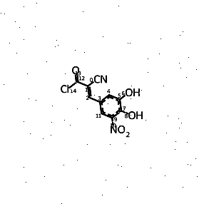 N#C/C(=C\c1cc(O)c(O)c([N+](=O)[O-])c1)C(=O)Cl